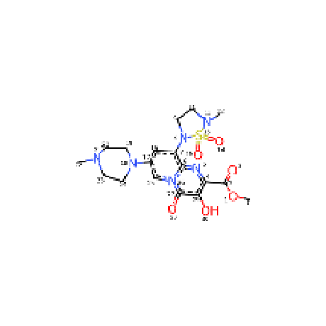 COC(=O)c1nc2c(N3CCN(C)S3(=O)=O)cc(N3CCN(C)CC3)cn2c(=O)c1O